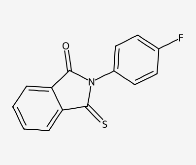 O=C1c2ccccc2C(=S)N1c1ccc(F)cc1